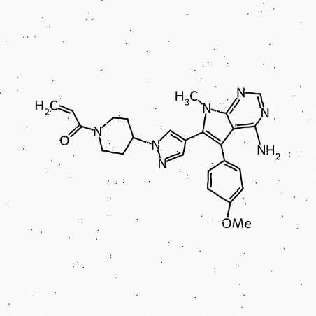 C=CC(=O)N1CCC(n2cc(-c3c(-c4ccc(OC)cc4)c4c(N)ncnc4n3C)cn2)CC1